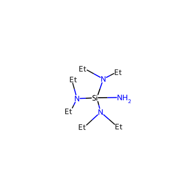 CCN(CC)[Si](N)(N(CC)CC)N(CC)CC